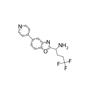 NC(CCC(F)(F)F)c1nc2cc(-c3ccncc3)ccc2o1